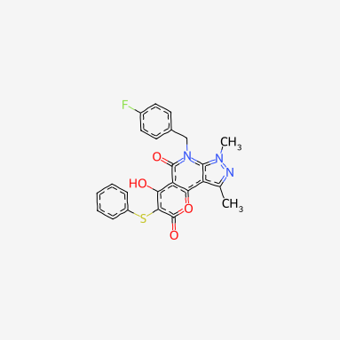 Cc1nn(C)c2c1c1oc(=O)c(Sc3ccccc3)c(O)c1c(=O)n2Cc1ccc(F)cc1